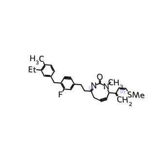 C=C(/C=C\SC)C1C#CC/C(CCc2c#cc(Cc3ccc(C)c(CC)c3)c(F)c2)=N\C(=O)N1C